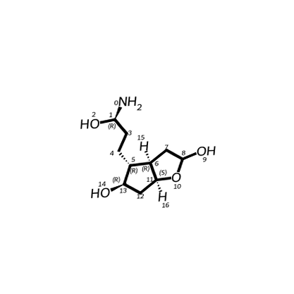 N[C@H](O)CC[C@@H]1[C@H]2CC(O)O[C@H]2C[C@H]1O